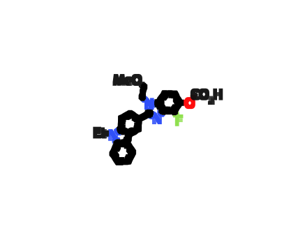 CCn1c2ccccc2c2cc(-c3nc4c(F)c(OC(=O)O)ccc4n3CCOC)ccc21